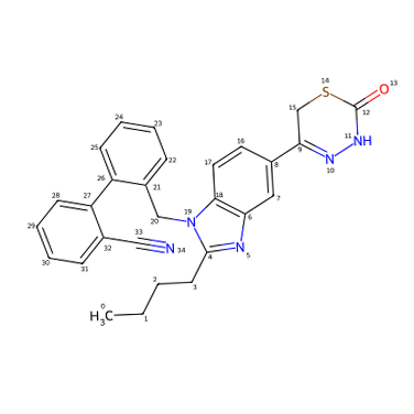 CCCCc1nc2cc(C3=NNC(=O)SC3)ccc2n1Cc1ccccc1-c1ccccc1C#N